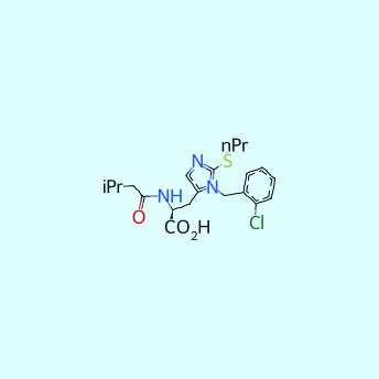 CCCSc1ncc(C[C@H](NC(=O)CC(C)C)C(=O)O)n1Cc1ccccc1Cl